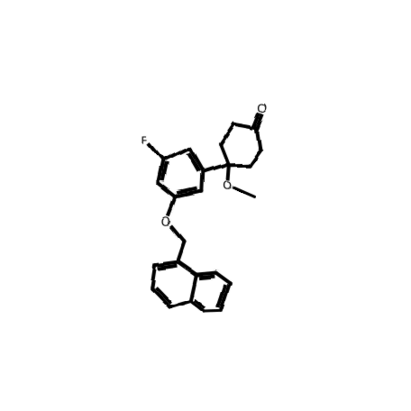 COC1(c2cc(F)cc(OCc3cccc4ccccc34)c2)CCC(=O)CC1